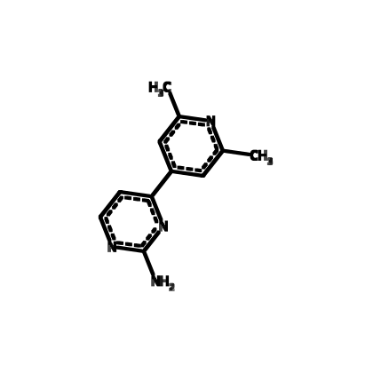 Cc1cc(-c2ccnc(N)n2)cc(C)n1